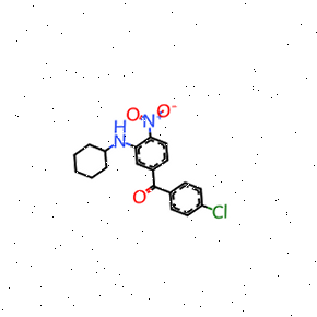 O=C(c1ccc(Cl)cc1)c1ccc([N+](=O)[O-])c(NC2CCCCC2)c1